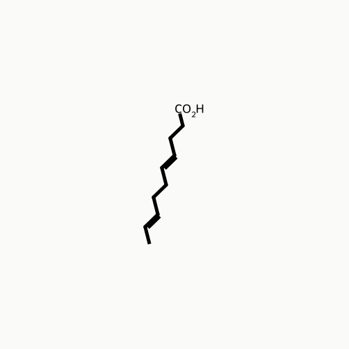 CC=CCCC=CCCC(=O)O